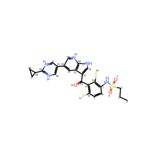 CCCS(=O)(=O)Nc1ccc(F)c(C(=O)c2c[nH]c3ncc(-c4cnc(C5CC5)nc4)cc23)c1F